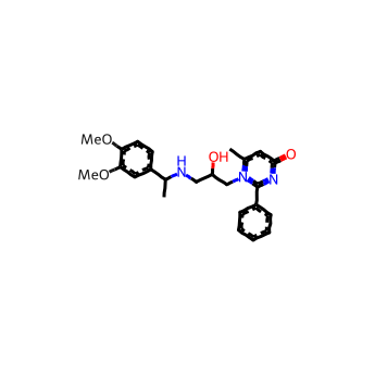 COc1ccc(C(C)NCC(O)Cn2c(C)cc(=O)nc2-c2ccccc2)cc1OC